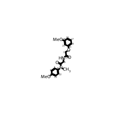 COc1ccc(N(C)C(=O)CNC(=O)COc2cccc(OC)c2)cc1